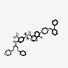 O=[N+]([O-])c1cc(S(=O)(=O)Nc2ncnc3c(F)c(N4CCN(Cc5ccccc5-c5ccccc5)CC4)ccc23)ccc1NC(CCN1CCOCC1)CSc1ccccc1